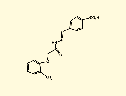 Cc1ccccc1OCC(=O)NN=Cc1ccc(C(=O)O)cc1